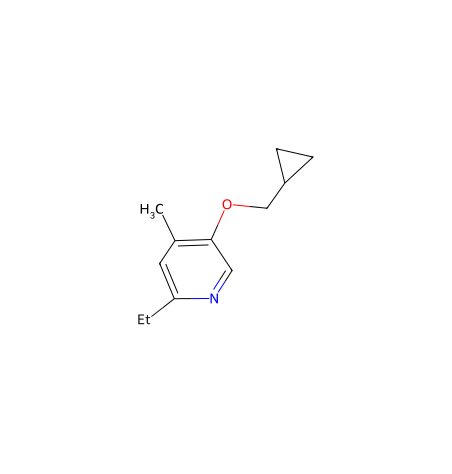 CCc1cc(C)c(OCC2CC2)cn1